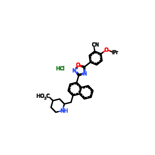 CC(C)Oc1ccc(-c2nc(-c3ccc(CC4CC(C(=O)O)CCN4)c4ccccc34)no2)cc1C#N.Cl